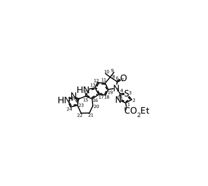 CCOC(=O)c1csc(N2C(=O)C(C)(C)c3cc4[nH]c5c(c4cc32)CCCc2c[nH]nc2-5)n1